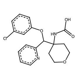 O=C(O)NC1(C(Oc2cccc(Cl)c2)c2ccccn2)CCOCC1